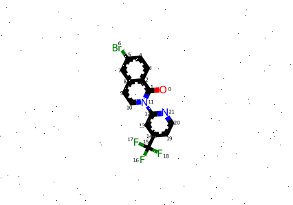 O=c1c2ccc(Br)cc2ccn1-c1cc(C(F)(F)F)ccn1